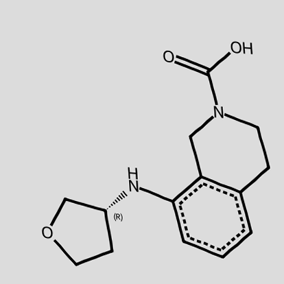 O=C(O)N1CCc2cccc(N[C@@H]3CCOC3)c2C1